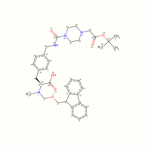 CN(COCC1c2ccccc2-c2ccccc21)[C@@H](Cc1ccc(CNC(=O)N2CCN(CC(=O)OC(C)(C)C)CC2)cc1)C(=O)O